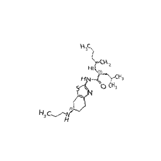 C=C(CCC)N[C@@H](CC(C)C)C(=O)Nc1nc2c(s1)C[C@H](NCCC)CC2